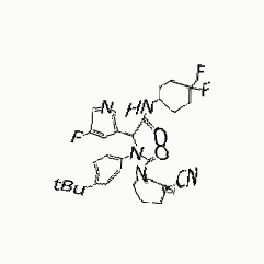 CC(C)(C)c1ccc(N(C(=O)N2CCC[C@H]2C#N)C(C(=O)NC2CCC(F)(F)CC2)c2cncc(F)c2)cc1